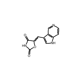 O=C1NC(=O)/C(=C/c2c[nH]c3ccncc23)O1